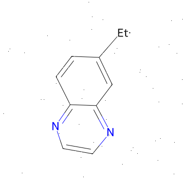 C[CH]c1ccc2nccnc2c1